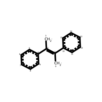 [CH2]/C(=C(/[CH2])c1ccccc1)c1ccccc1